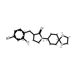 O=C1C(Cc2ccc(Br)cc2Cl)CCN1C1CCC2(CC1)OCCO2